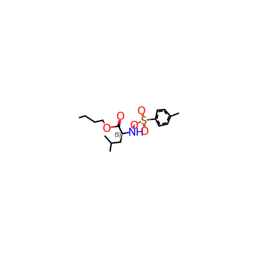 CCCCOC(=O)[C@H](CC(C)C)NOS(=O)(=O)c1ccc(C)cc1